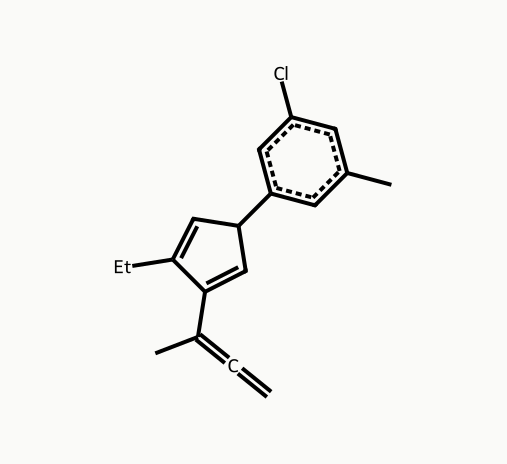 C=C=C(C)C1=CC(c2cc(C)cc(Cl)c2)C=C1CC